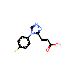 O=C(O)C=Cc1nncn1-c1ccc(F)cc1